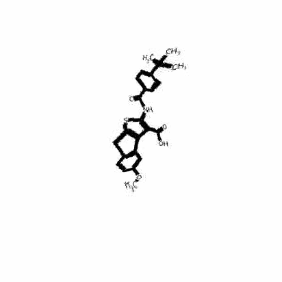 COc1ccc2c(c1)-c1c(sc(NC(=O)c3ccc(C(C)(C)C)cc3)c1C(=O)O)C2